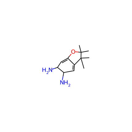 CC1(C)OC2=CC(N)C(N)C=C2C1(C)C